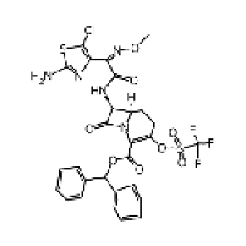 CO/N=C(\C(=O)N[C@@H]1C(=O)N2C(C(=O)OC(c3ccccc3)c3ccccc3)=C(OS(=O)(=O)C(F)(F)F)CC[C@H]12)c1nc(N)sc1Cl